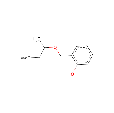 COCC(C)OCc1ccccc1O